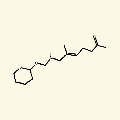 C=C(C)CC/C=C(\C)CNCOC1CCCCO1